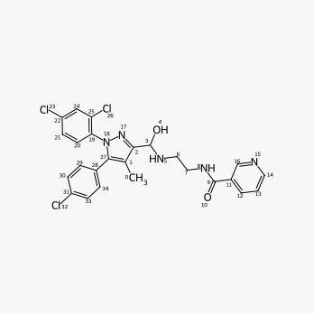 Cc1c(C(O)NCCNC(=O)c2cccnc2)nn(-c2ccc(Cl)cc2Cl)c1-c1ccc(Cl)cc1